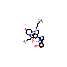 C=CCC[C@]1(O)C=C(c2nccc3c2[nH]c2c(O)cccc23)C2CCN(CCCCC)C[C@@]23CC2CCC(=O)CCCN2[C@H]31